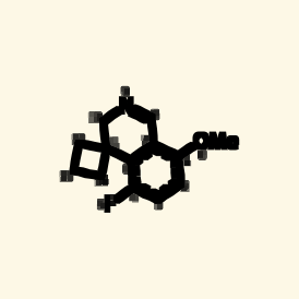 COc1ccc(F)c2c1C=NCC21CCC1